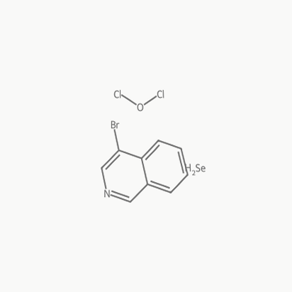 Brc1cncc2ccccc12.ClOCl.[SeH2]